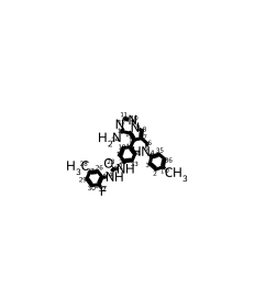 Cc1ccc(NCc2cn3ncnc(N)c3c2-c2ccc(NC(=O)Nc3cc(C)ccc3F)cc2)cc1